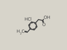 C=Cc1ccc(CC(=O)O)cc1.Cl